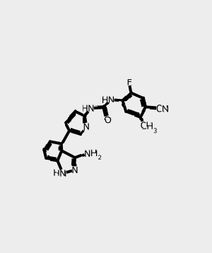 Cc1cc(NC(=O)Nc2ccc(-c3cccc4[nH]nc(N)c34)cn2)c(F)cc1C#N